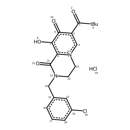 CC(C)(C)C(=O)c1cn2c(c(O)c1=O)C(=O)N(Cc1cccc(Cl)c1)CC2.Cl